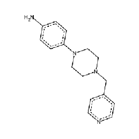 Nc1ccc(N2CCN(Cc3ccncc3)CC2)cc1